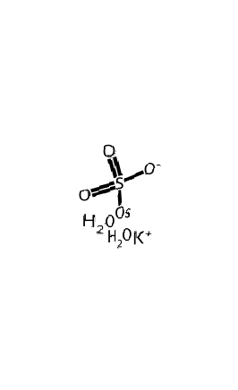 O.O.O=[S](=O)([O-])[Os].[K+]